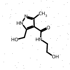 Cc1n[nH]c(CO)c1C(=O)NCCO